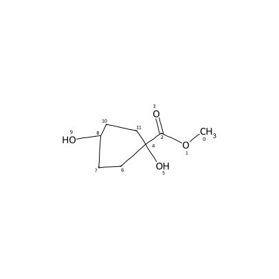 COC(=O)C1(O)CCC(O)CC1